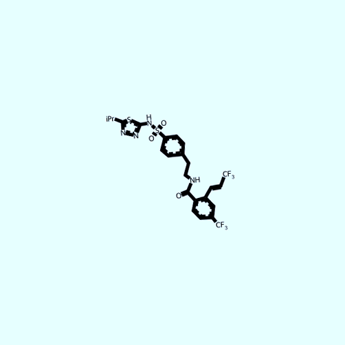 CC(C)c1nnc(NS(=O)(=O)c2ccc(CCNC(=O)c3ccc(C(F)(F)F)cc3/C=C/C(F)(F)F)cc2)s1